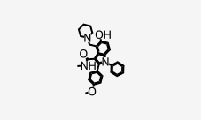 CNC(=O)c1c(-c2ccc(OC)cc2)n(-c2ccccc2)c2ccc(O)c(CN3CCCCC3)c12